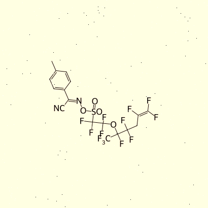 Cc1ccc(C(C#N)=NOS(=O)(=O)C(F)(F)C(F)(F)OC(F)(C(F)(F)F)C(F)(F)CC(F)=C(F)F)cc1